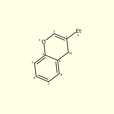 C[CH]C1=COc2ccccc2C1